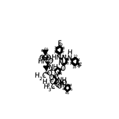 C=C[C@@H]1C[C@]1(NC(=O)[C@@H]1C[C@@H](Oc2cc(Nc3ccc(F)cc3)nc(Nc3ccc(F)cc3)n2)CN1C(=O)[C@@H](NC(=O)OC1CCCC1)C(C)(C)C)C(=O)NS(=O)(=O)C1CC1